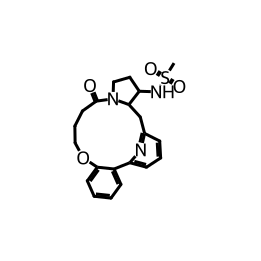 CS(=O)(=O)NC1CCN2C(=O)CCCOc3ccccc3-c3cccc(n3)CC12